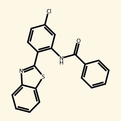 O=C(Nc1cc(Cl)ccc1-c1nc2ccccc2s1)c1ccccc1